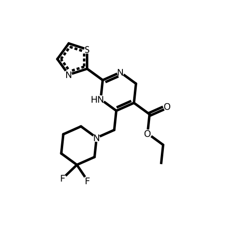 CCOC(=O)C1=C(CN2CCCC(F)(F)C2)NC(c2nccs2)=NC1